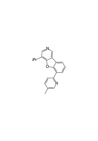 Cc1ccc(-c2cccc3c2oc2c(C(C)C)cncc23)nc1